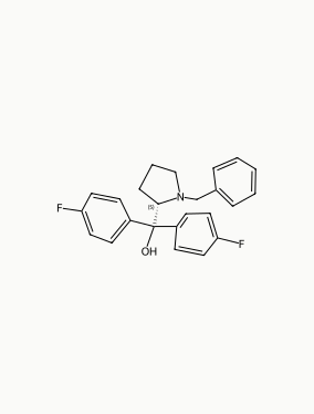 OC(c1ccc(F)cc1)(c1ccc(F)cc1)[C@@H]1CCCN1Cc1ccccc1